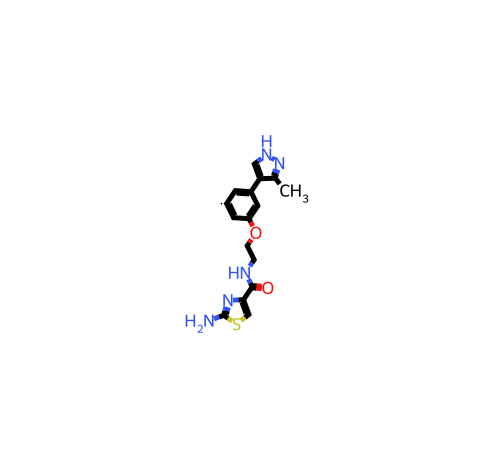 Cc1n[nH]cc1-c1c[c]cc(OCCNC(=O)c2csc(N)n2)c1